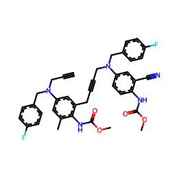 C#CCN(Cc1ccc(F)cc1)c1cc(C)c(NC(=O)OC)c(CC#CCN(Cc2ccc(F)cc2)c2ccc(NC(=O)OC)c(C#N)c2)c1